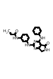 C=CC(=O)Nc1cccc(Nc2nc3c(c(Nc4ccccc4)n2)C(=O)NC3)c1